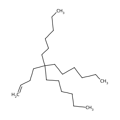 C=CCCC(CCCCCC)(CCCCCC)CCCCCC